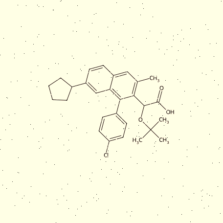 Cc1cc2ccc(C3CCCC3)cc2c(-c2ccc(Cl)cc2)c1C(OC(C)(C)C)C(=O)O